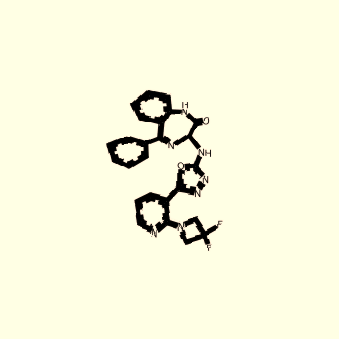 O=C1Nc2ccccc2C(c2ccccc2)=NC1Nc1nnc(-c2cccnc2N2CC(F)(F)C2)o1